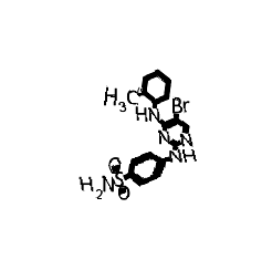 C[C@H]1CCCCC1Nc1nc(Nc2ccc(S(N)(=O)=O)cc2)ncc1Br